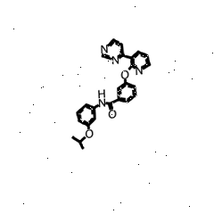 CC(C)Oc1cccc(NC(=O)c2cccc(Oc3ncccc3-c3ccncn3)c2)c1